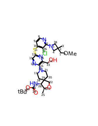 COCC1(C)CN(c2nccc(Sc3cnc(N4CCC5(CC4)CO[C@@H](C)[C@H]5NC(=O)OC(C)(C)C)c(CO)n3)c2Cl)C1